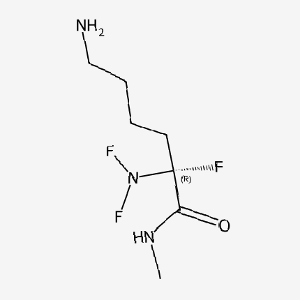 CNC(=O)[C@](F)(CCCCN)N(F)F